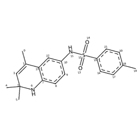 CC1=CC(C)(C)Nc2ccc(NS(=O)(=O)c3ccc(C)cc3)cc21